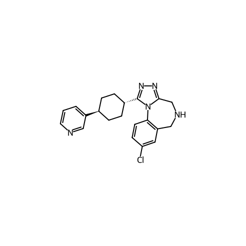 Clc1ccc2c(c1)CNCc1nnc([C@H]3CC[C@H](c4cccnc4)CC3)n1-2